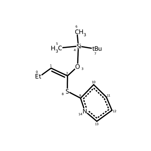 CC/C=C(/O[Si](C)(C)C(C)(C)C)Sc1ccccn1